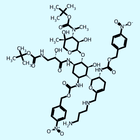 CN(C(=O)OC(C)(C)C)[C@@H]1[C@@H](O)[C@@H](O[C@H]2[C@H](NC(=O)[C@@H](O)CNC(=O)OC(C)(C)C)C[C@H](NC(=O)OCc3ccc([N+](=O)[O-])cc3)C([C@H]3OC(CNCCCN)=CC[C@H]3NC(=O)OCc3ccc([N+](=O)[O-])cc3)[C@@H]2O)OC[C@]1(C)O